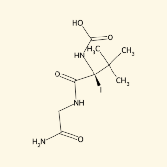 CC(C)(C)[C@@](I)(NC(=O)O)C(=O)NCC(N)=O